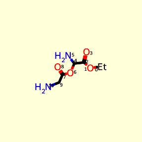 CCOC(=O)C(N)OC(=O)CN